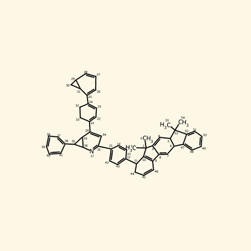 CC1(C)C2=CC3C(C=C2C2=C1C(c1ccc(C4=NC5C(C(C6=CC=C(C7=CC=CC8CC78)CC6)=C4)C5c4ccccc4)cc1)CC=C2)c1ccccc1C3(C)C